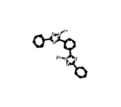 CC(C)n1nc(-c2ccccc2)nc1-c1cccc(-c2nc(-c3ccccc3)nn2C(C)C)c1